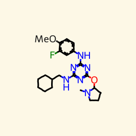 COc1ccc(Nc2nc(NCC3CCCCC3)nc(OC3CCCN3C)n2)cc1F